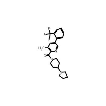 Cc1cc(-c2ccccc2C(F)(F)F)cnc1C(=O)N1CCC(N2CCCC2)CC1